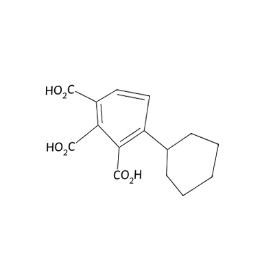 O=C(O)c1ccc(C2CCCCC2)c(C(=O)O)c1C(=O)O